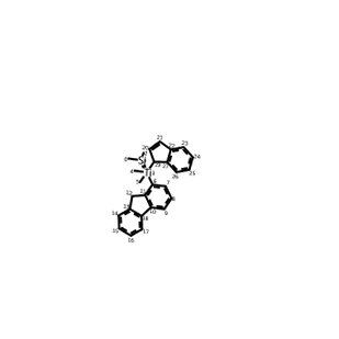 C[Si](C)=[Ti]([CH3])([CH3])([c]1cccc2c1Cc1ccccc1-2)[CH]1C=Cc2ccccc21